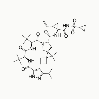 C=C[C@@H]1C[C@]1(NC(=O)[C@@H]1C[C@@]2(CN1C(=O)[C@@H](NC(=O)[C@@H](NC(=O)c1cc(C(C)C)n[nH]1)C(C)(C)C)C(C)(C)C)C(C)(C)C21CCC1)C(=O)NS(=O)(=O)C1CC1